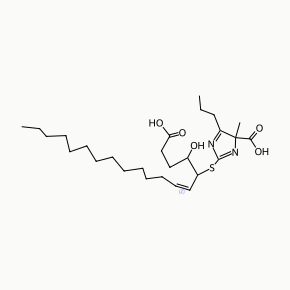 CCCCCCCCCCCC/C=C\C(SC1=NC(C)(C(=O)O)C(CCC)=N1)C(O)CCC(=O)O